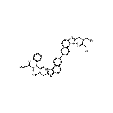 CCCN(Cc1nc2ccc3cc(-c4ccc5c(ccc6nc(CN(CC(C)C)C(=O)C[C@@H](C)CC)[nH]c65)c4)ccc3c2[nH]1)C(=O)[C@H](NC(=O)OC)c1ccccc1